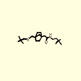 CC(C)(C)CCNC(=O)CC12CCC(CSCC(C)(C)C)(CC1)C2